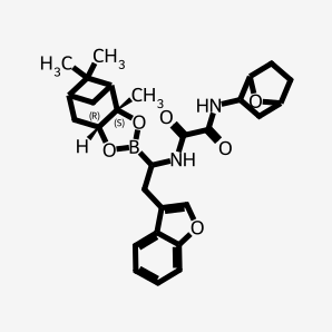 CC1(C)C2CC1[C@]1(C)OB(C(Cc3coc4ccccc34)NC(=O)C(=O)NC3CC4CCC3O4)O[C@@H]1C2